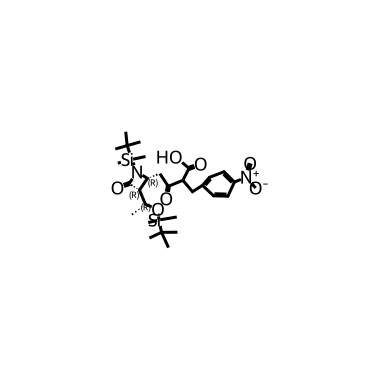 C[C@@H](O[Si](C)(C)C(C)(C)C)[C@@H]1C(=O)N([Si](C)(C)C(C)(C)C)[C@@H]1CC(=O)C(Cc1ccc([N+](=O)[O-])cc1)C(=O)O